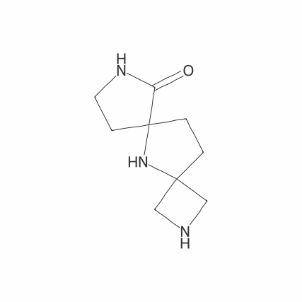 O=C1NCCC12CCC1(CNC1)N2